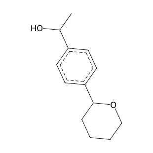 CC(O)c1ccc(C2CCCCO2)cc1